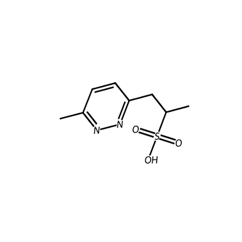 Cc1ccc(CC(C)S(=O)(=O)O)nn1